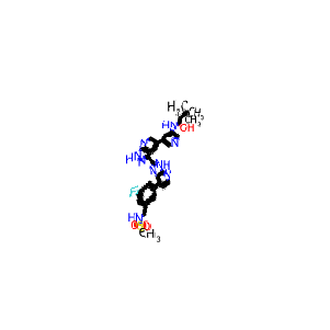 CC(C)(C)CC(O)Nc1cncc(-c2cnc3[nH]nc(-c4nc5c(-c6cc(F)cc(CNS(C)(=O)=O)c6)ccnc5[nH]4)c3c2)c1